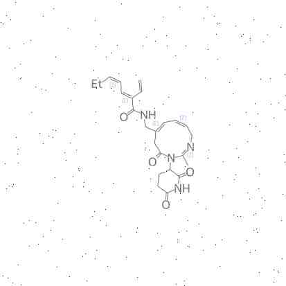 C=C/C(=C\C=C/CC)C(=O)NC/C1=C/C=C\C/N=C(/C)N(C2CCC(=O)NC2=O)C(=O)C1